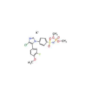 COc1ccc(-c2c(Cl)ncn2-c2ccc(S(=O)(=O)[N-]P(=O)(OC)OC)cc2)cc1F.[K+]